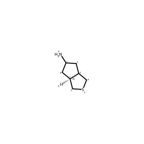 NC1CC2CSC[C@H]2C1